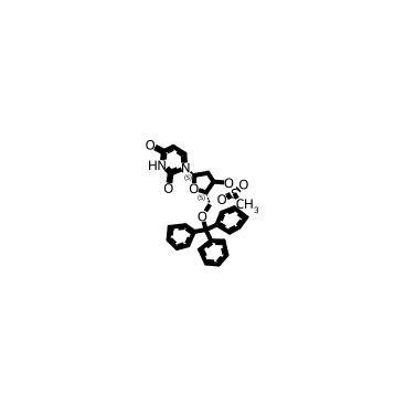 CS(=O)(=O)OC1C[C@@H](n2ccc(=O)[nH]c2=O)O[C@H]1COC(c1ccccc1)(c1ccccc1)c1ccccc1